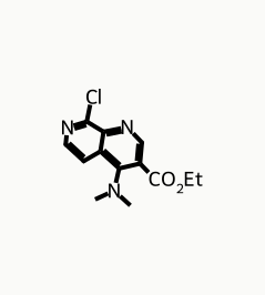 CCOC(=O)c1cnc2c(Cl)nccc2c1N(C)C